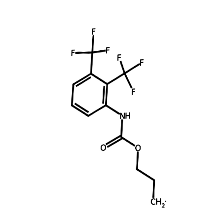 [CH2]CCOC(=O)Nc1cccc(C(F)(F)F)c1C(F)(F)F